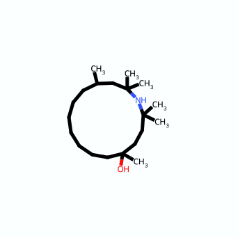 CC1CCCCCCCC(C)(O)CCC(C)(C)NC(C)(C)C1